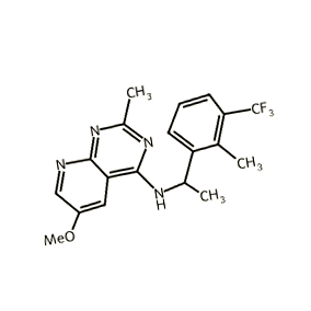 COc1cnc2nc(C)nc(NC(C)c3cccc(C(F)(F)F)c3C)c2c1